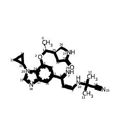 C[C@@H](Oc1cc(C(=N)/C=C\NC(C)(C)C#N)cc2ncn(C3CC3)c12)[C@H]1CNC(=O)C1